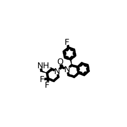 NC[C@H]1CN(C(=O)N2CCc3ccccc3[C@@H]2c2ccc(F)cc2)CCC1(F)F